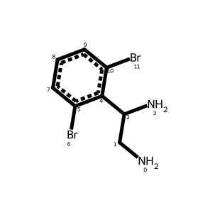 NCC(N)c1c(Br)cccc1Br